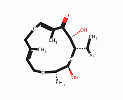 CC(=O)C(C)[C@@H]1C[C@@H](O)[C@H](C)CC/C=C(\C)CC/C=C(\C)C(=O)[C@@H]1O